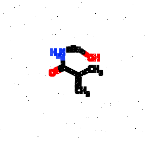 C=C(C)C(N)=O.CCCCO